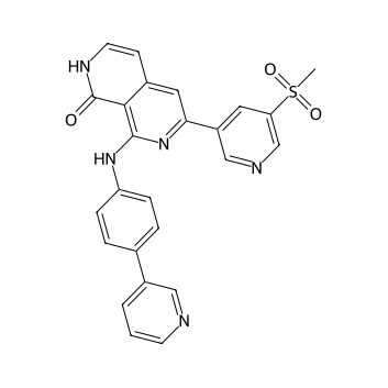 CS(=O)(=O)c1cncc(-c2cc3cc[nH]c(=O)c3c(Nc3ccc(-c4cccnc4)cc3)n2)c1